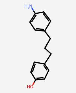 Nc1ccc(CCCc2ccc(O)cc2)cc1